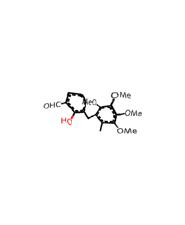 COc1c(C)c(Cc2cccc(C=O)c2O)c(OC)c(OC)c1OC